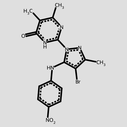 Cc1nn(-c2nc(C)c(C)c(=O)[nH]2)c(Nc2ccc([N+](=O)[O-])cc2)c1Br